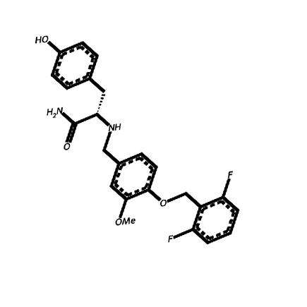 COc1cc(CN[C@@H](Cc2ccc(O)cc2)C(N)=O)ccc1OCc1c(F)cccc1F